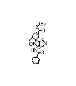 CC(C)(C)OC(=O)N1CC2CON(C(=S)NC(=O)c3ccccc3)C2(c2ccns2)C1